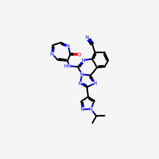 CC(C)n1cc(-c2nc3c4cccc(C#N)c4nc(Nc4cnccnc4=O)n3n2)cn1